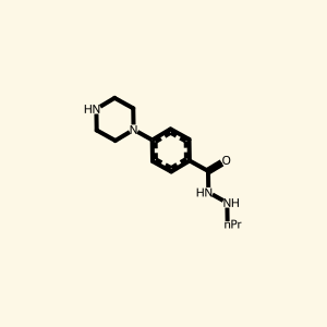 CCCNNC(=O)c1ccc(N2CCNCC2)cc1